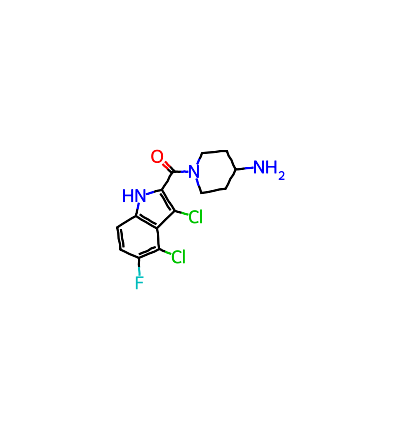 NC1CCN(C(=O)c2[nH]c3ccc(F)c(Cl)c3c2Cl)CC1